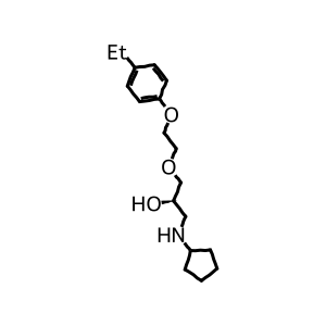 CCc1ccc(OCCOC[C@H](O)CNC2CCCC2)cc1